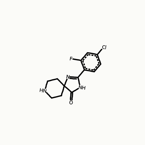 O=C1NC(c2ccc(Cl)cc2F)=NC12CCNCC2